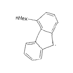 CCCCCCc1cccc2c1-c1ccccc1[CH]2